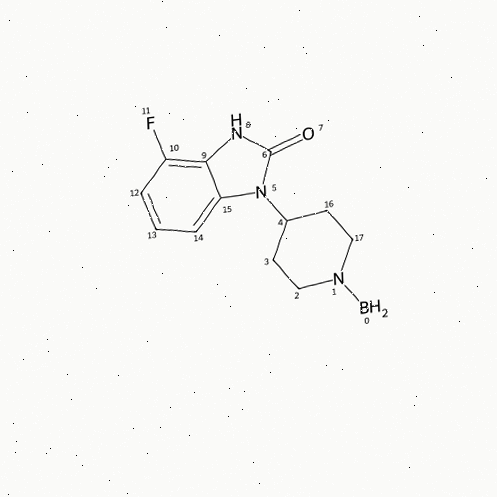 BN1CCC(n2c(=O)[nH]c3c(F)cccc32)CC1